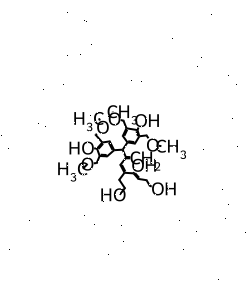 C=C(/C=C(CCO)\C(O)=C\CCO)C(c1cc(COC)c(O)c(COC)c1)c1cc(COC)c(O)c(COC)c1